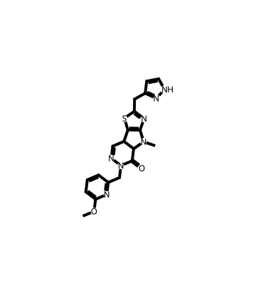 COc1cccc(CN2N=CC3c4sc(Cc5cc[nH]n5)nc4N(C)C3C2=O)n1